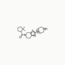 CC1(C)CCCC1C(=O)N1CCc2nc(N3C4CCC3CNC4)sc2C1